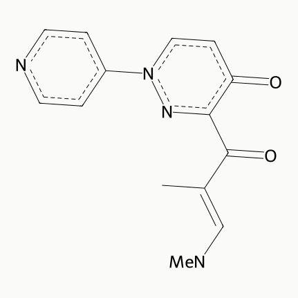 CN/C=C(\C)C(=O)c1nn(-c2ccncc2)ccc1=O